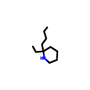 CCCCC1(CC)CCCCN1